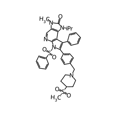 CC(C)n1c(=O)n(C)c2cnc3c(c(-c4ccccc4)c(-c4ccc(CN5CCC(S(C)(=O)=O)CC5)cc4)n3S(=O)(=O)c3ccccc3)c21